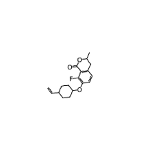 C=CC1CCC(Oc2ccc3c(c2F)C(=O)OC(C)C3)CC1